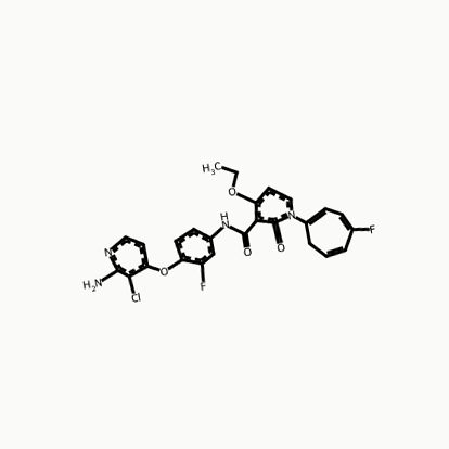 CCOc1ccn(C2=CC=C(F)C=CC2)c(=O)c1C(=O)Nc1ccc(Oc2ccnc(N)c2Cl)c(F)c1